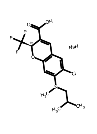 CC(C)CN(C)c1cc2c(cc1Cl)C=C(C(=O)O)[C@H](C(F)(F)F)O2.[NaH]